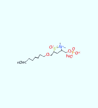 CCCCCCCCCCCCCCCCOCC(CC(COP(=O)(O)O)[N+](C)(C)C)[S+](C)[O-]